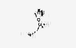 COCO[C@@H]1C[C@H](n2cc(C#CCOCSSC(C)(C)CN)c3c(=O)[nH]c(N)nc32)O[C@@H]1COP(=O)(O)OP(=O)(O)OP(=O)(O)O